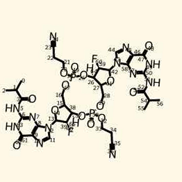 CC(C)C(=O)Nc1nc2c(ncn2C2OC3COP(=O)(OCCC#N)O[C@@H]4C(COP(=O)(OCCC#N)O[C@H]3[C@H]2F)OC(n2cnc3c(=O)[nH]c(NC(=O)C(C)C)nc32)[C@@H]4F)c(=O)[nH]1